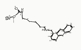 CC(C)(C)OC(=O)NCCCCCCNCc1cccc2cc3ccccc3cc12